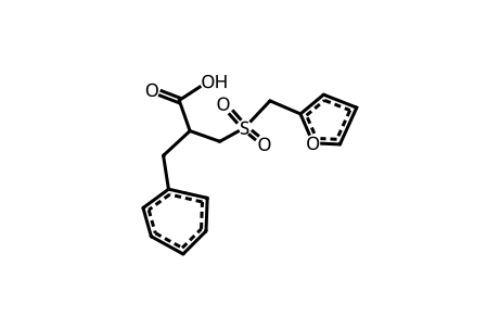 O=C(O)C(Cc1ccccc1)CS(=O)(=O)Cc1ccco1